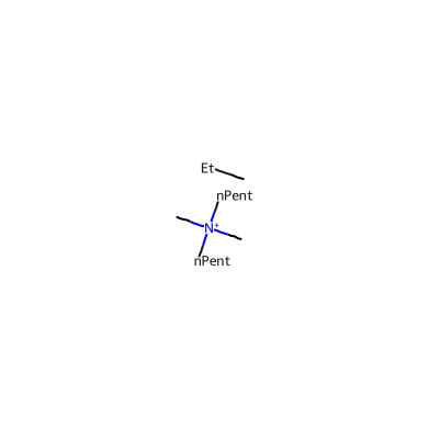 CCC.CCCCC[N+](C)(C)CCCCC